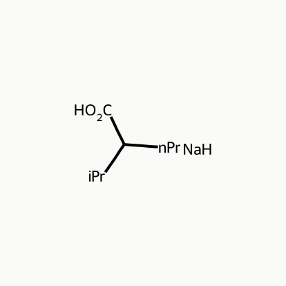 CCCC(C(=O)O)C(C)C.[NaH]